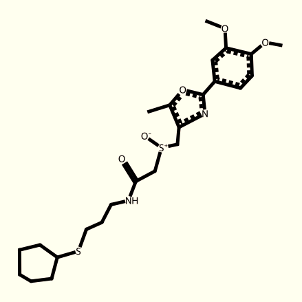 COc1ccc(-c2nc(C[S+]([O-])CC(=O)NCCCSC3CCCCC3)c(C)o2)cc1OC